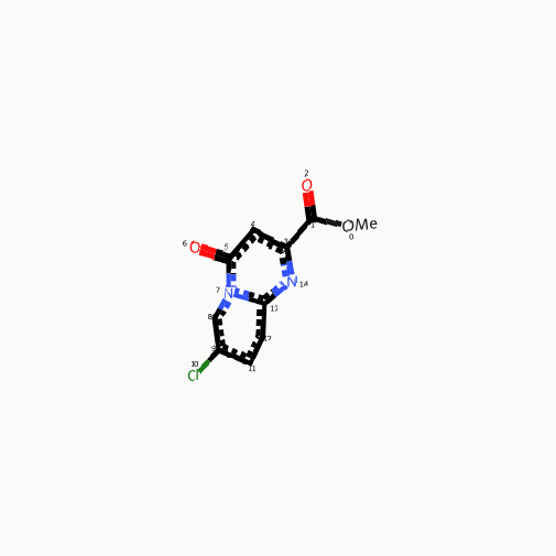 COC(=O)c1cc(=O)n2cc(Cl)ccc2n1